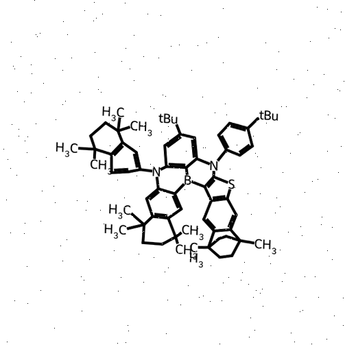 CC(C)(C)c1ccc(N2c3cc(C(C)(C)C)cc4c3B(c3cc5c(cc3N4c3ccc4c(c3)C(C)(C)CCC4(C)C)C(C)(C)CCC5(C)C)c3c2sc2cc4c(cc32)C2(C)CCC4(C)CC2)cc1